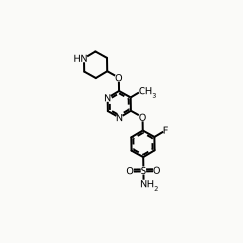 Cc1c(Oc2ccc(S(N)(=O)=O)cc2F)ncnc1OC1CCNCC1